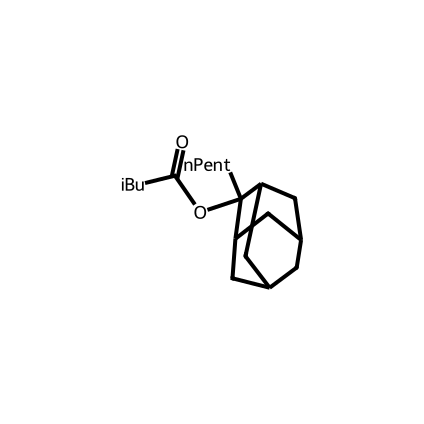 CCCCCC1(OC(=O)C(C)CC)C2CC3CC(C2)CC1C3